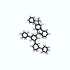 CC1(C)c2ccccc2-c2cc3c(cc21)c1ccccc1n3-c1cc(-c2ccccc2)cc(-c2cccc(-c3ccccc3)c2)c1